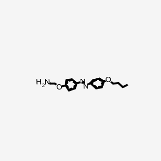 CCCCOc1ccc(/N=N/c2ccc(OCCN)cc2)cc1